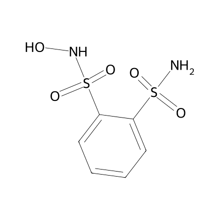 NS(=O)(=O)c1ccccc1S(=O)(=O)NO